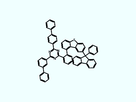 c1ccc(-c2ccc(-c3nc(-c4cccc(-c5ccccc5)c4)nc(-c4ccccc4-c4cccc5sc6ccc(C7(c8ccccc8)c8ccccc8-c8ccccc87)cc6c45)n3)cc2)cc1